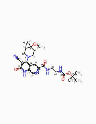 COC1(C)CCN(c2c(C#N)c(=O)[nH]c3cnc(C(=O)NCCNC(=O)OC(C)(C)C)cc23)CC1